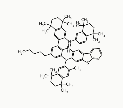 CCCCCc1cc(-c2cc3c(cc2Nc2ccc4c(c2)C(C)(C)CCC4(C)C)C(C)(C)CCC3(C)C)c2c(c1)N(c1cc3c(cc1C)C(C)(C)CCC3(C)C)c1cc3sc4ccccc4c3cc1B2